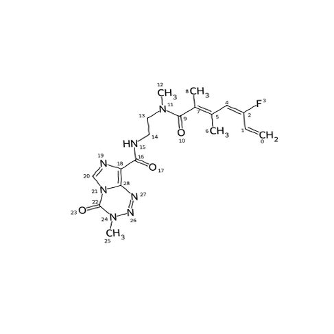 C=C/C(F)=C\C(C)=C(/C)C(=O)N(C)CCNC(=O)c1ncn2c(=O)n(C)nnc12